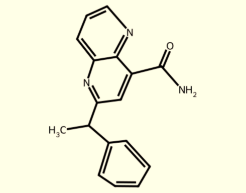 CC(c1ccccc1)c1cc(C(N)=O)c2ncccc2n1